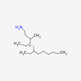 CCCCCCC(CC)C[C@H](CC)C(C)CCN